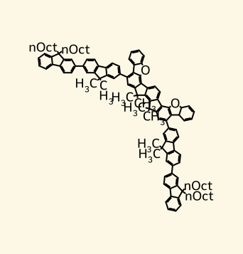 CCCCCCCCC1(CCCCCCCC)c2ccccc2-c2ccc(-c3ccc4c(c3)C(C)(C)c3cc(-c5cc6c(c7c5C5C=CC=CC5O7)-c5ccc7c(c5C6(C)C)C(C)(C)c5cc(-c6ccc8c(c6)C(C)(C)c6cc(-c9ccc%10c(c9)C(CCCCCCCC)(CCCCCCCC)c9ccccc9-%10)ccc6-8)c6c(oc8ccccc86)c5-7)ccc3-4)cc21